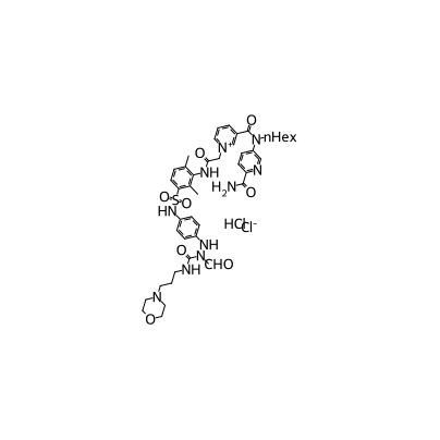 CCCCCCN(C(=O)c1ccc[n+](CC(=O)Nc2c(C)ccc(S(=O)(=O)Nc3ccc(NN(C=O)C(=O)NCCCN4CCOCC4)cc3)c2C)c1)c1ccc(C(N)=O)nc1.Cl.[Cl-]